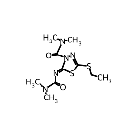 CCSc1nn(C(=O)N(C)C)c(=NC(=O)N(C)C)s1